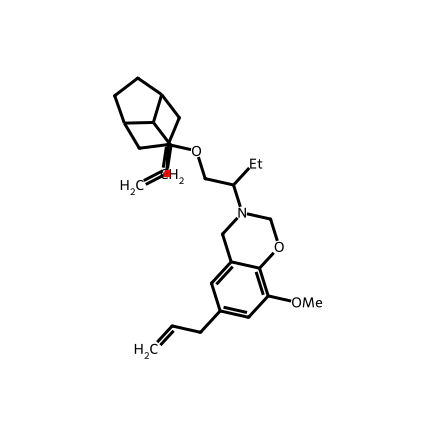 C=CCc1cc2c(c(OC)c1)OCN(C(CC)COC1(C=C)CC3CCC(C1)C3C=C)C2